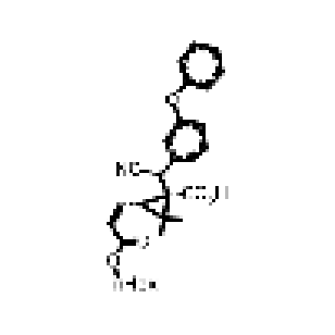 CCCCCCOC(=O)/C=C\[C@H]1C(C)(C)[C@]1(C(=O)O)[C@@H](C#N)c1cccc(Oc2ccccc2)c1